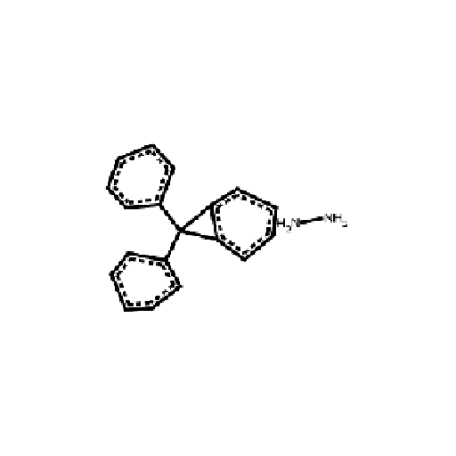 NN.c1ccc(C2(c3ccccc3)c3ccccc32)cc1